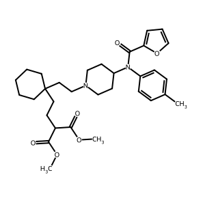 COC(=O)C(CCC1(CCN2CCC(N(C(=O)c3ccco3)c3ccc(C)cc3)CC2)CCCCC1)C(=O)OC